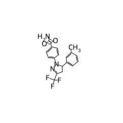 Cc1cccc(C2CC(C(F)(F)F)=NN2c2ccc(S(N)(=O)=O)cc2)c1